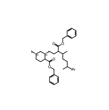 CC(C)C(C)CCC(C)C(CC[C@@H]1C[C@H](I)CCC1C(=O)OCc1ccccc1)C(=O)OCc1ccccc1